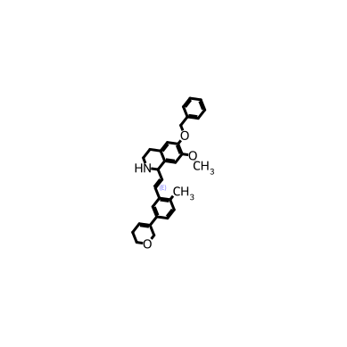 COc1cc2c(cc1OCc1ccccc1)CCNC2/C=C/c1cc(C2=CCCOC2)ccc1C